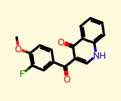 COc1ccc(C(=O)c2c[nH]c3ccccc3c2=O)cc1F